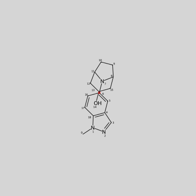 Cn1ncc2cc(N3C4CCC3CC(O)C4)ccc21